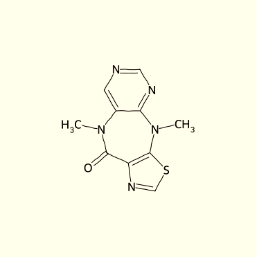 CN1C(=O)c2ncsc2N(C)c2ncncc21